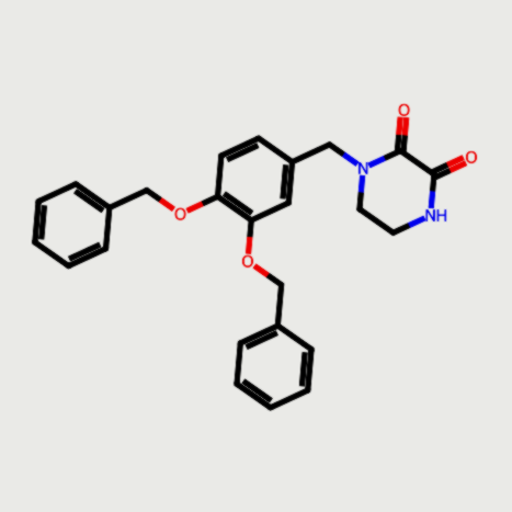 O=C1NCCN(Cc2ccc(OCc3ccccc3)c(OCc3ccccc3)c2)C1=O